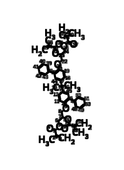 C=C(C)C(=O)OCC(COc1ccc(C(C)(C)c2ccc(OCC(COC(=O)C(=C)C)OC(=O)C(=C)C)c(-c3ccccc3)c2)cc1-c1ccccc1)OC(=O)C(=C)C